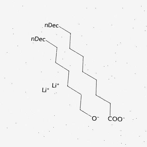 CCCCCCCCCCCCCCCCCC(=O)[O-].CCCCCCCCCCCCCCCC[O-].[Li+].[Li+]